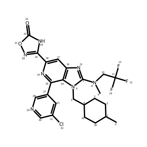 CC1CCC(Cn2c(N(C)CC(F)(F)F)nc3cc(-c4noc(=O)[nH]4)nc(-c4cncc(Cl)c4)c32)CC1